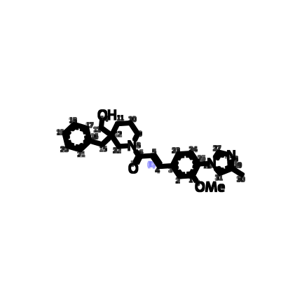 COc1cc(/C=C/C(=O)N2CCCC(CO)(Cc3ccccc3)C2)ccc1-n1cnc(C)c1